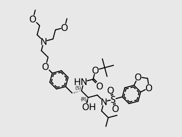 COCCN(CCOC)CCOc1ccc(C[C@H](NC(=O)OC(C)(C)C)[C@H](O)CN(CC(C)C)S(=O)(=O)c2ccc3c(c2)OCO3)cc1